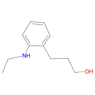 CCNc1ccccc1CCCO